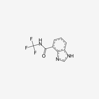 O=C(NC(F)(F)F)c1cccc2[nH]cnc12